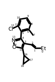 CC/C=C/c1c(-c2c(C)cccc2Cl)noc1C1CC1